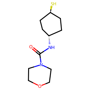 O=C(N[C@H]1CC[C@H](S)CC1)N1CCOCC1